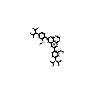 CNc1cc(C(C(C)C)C(C)C)ccc1C1=CC2=CC(c3ccc(N(C(C)C)C(C)C)cc3NC)=NC3=NC=NC(=N1)[C@H]23